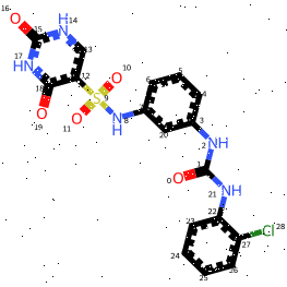 O=C(Nc1cccc(NS(=O)(=O)c2c[nH]c(=O)[nH]c2=O)c1)Nc1ccccc1Cl